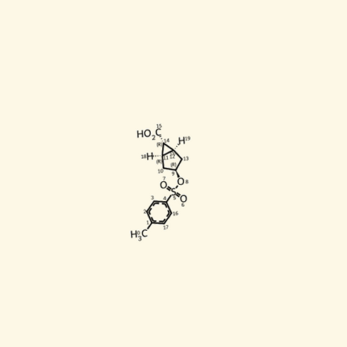 Cc1ccc(S(=O)(=O)O[C@H]2C[C@@H]3[C@H](C2)[C@H]3C(=O)O)cc1